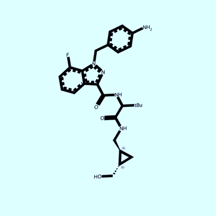 CC(C)(C)C(NC(=O)c1nn(Cc2ccc(N)cc2)c2c(F)cccc12)C(=O)NC[C@H]1C[C@@H]1CO